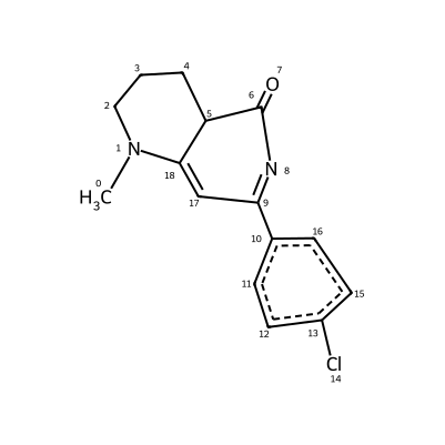 CN1CCCC2C(=O)N=C(c3ccc(Cl)cc3)C=C21